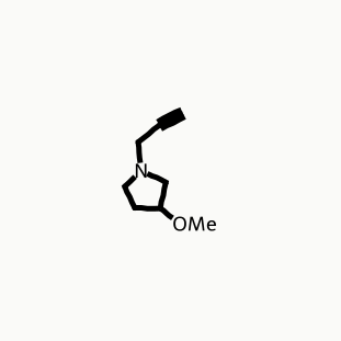 C#CCN1CCC(OC)C1